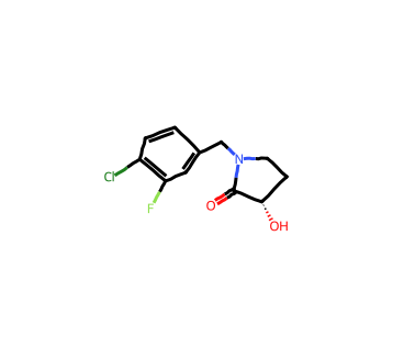 O=C1[C@@H](O)CCN1Cc1ccc(Cl)c(F)c1